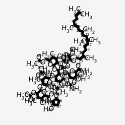 C=C(C/C=C(\C)CCC=C(C)C)CCC(C)(C)/C=C/CC/C(C)=C\CO[C@H](CO[PH](=O)O[C@H]1OC(C(N)=O)[C@@](C)(O)[C@H](OC(N)=O)C1O[C@@H]1OC(CO[C@@H]2OC(COC(C)=O)[C@@H](C)[C@H](C)C2OC(C)=O)[C@@H](O[C@@H]2OC(C)[C@@H](O[C@@H]3OC(C(=O)NC4=C(O)CCC4=O)[C@H](C)[C@H](C)C3OC(C)=O)[C@H](C)C2NC(C)=O)[C@H](C)C1NC(C)=O)C(=O)OC